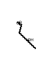 CCCCCCCCC/C(O)=C/CCCCCCC/C=C\CCCCCC(C)CC(=O)OC